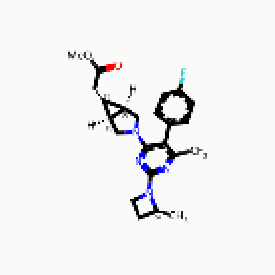 COC(=O)C[C@@H]1[C@H]2CN(c3nc(N4CC[C@@H]4C)nc(C(F)(F)F)c3-c3ccc(F)cc3)C[C@@H]12